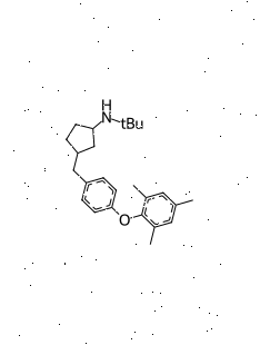 Cc1cc(C)c(Oc2ccc(CC3CCC(NC(C)(C)C)C3)cc2)c(C)c1